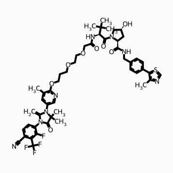 C=C1N(c2ccc(C#N)c(C(F)(F)F)c2F)C(=O)C(C)(C)N1c1cnc(OCCCOCCOCC(=O)N[C@H](C(=O)N2C[C@H](O)C[C@H]2C(=O)NCc2ccc(-c3scnc3C)cc2)C(C)(C)C)c(C)c1